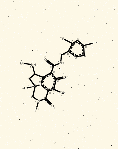 CCNC1C[C@H]2CN(CC)C(=O)c3c(O)c(=O)c(C(=O)NCc4ccc(F)cc4F)c1n32